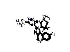 CC(=N)/N=N\NCc1nc2cnc3ccc(Cl)cc3c2n1C1CN(C)CC1(F)F